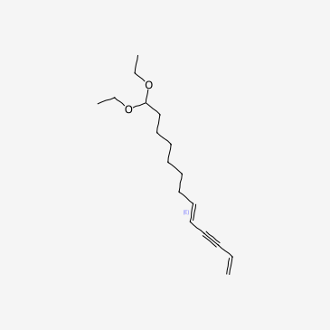 C=CC#C/C=C/CCCCCCC(OCC)OCC